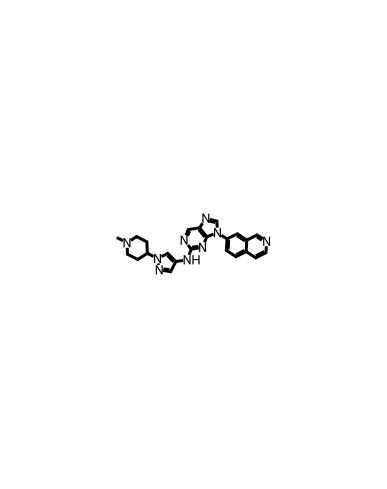 CN1CCC(n2cc(Nc3ncc4ncn(-c5ccc6ccncc6c5)c4n3)cn2)CC1